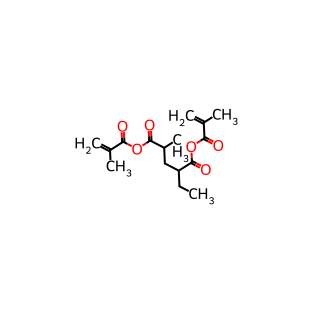 C=C(C)C(=O)OC(=O)C(C)CC(CC)C(=O)OC(=O)C(=C)C